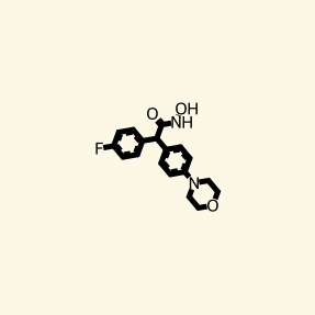 O=C(NO)C(c1ccc(F)cc1)c1ccc(N2CCOCC2)cc1